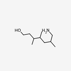 CC(CN)CC(C)C(C)CCO